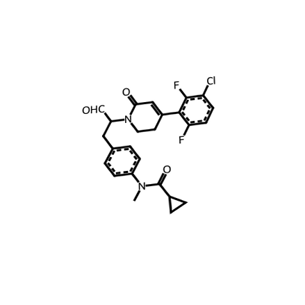 CN(C(=O)C1CC1)c1ccc(CC(C=O)N2CCC(c3c(F)ccc(Cl)c3F)=CC2=O)cc1